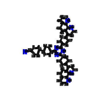 N#Cc1ccc(-c2ccc(-c3nc(-c4ccc(-c5ccnc6c5ccc5cccnc56)cc4)nc(-c4ccc(-c5ccnc6c5ccc5cccnc56)cc4)n3)cc2)cc1